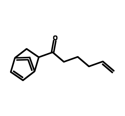 C=CCCCC(=O)C1CC2=C=C1C=C2